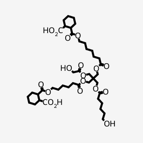 O=C(CO)OCC(COC(=O)CCCCCO)(COC(=O)CCCCCCOC(=O)C1CCCCC1C(=O)O)COC(=O)CCCCCOC(=O)C1CCCCC1C(=O)O